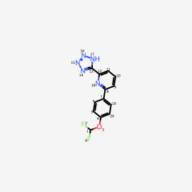 FC(F)Oc1ccc(-c2c[c]cc(-c3nnn[nH]3)n2)cc1